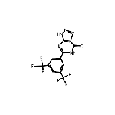 O=c1[nH]c(-c2cc(C(F)(F)F)cc(C(F)(F)F)c2)nc2[nH]ncc12